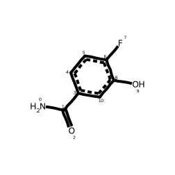 NC(=O)c1ccc(F)c(O)c1